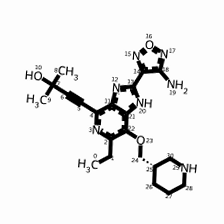 CCc1nc(C#CC(C)(C)O)c2nc(-c3nonc3N)[nH]c2c1OC[C@H]1CCCNC1